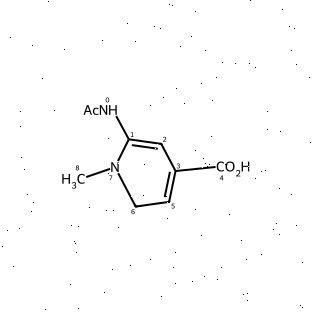 CC(=O)NC1=CC(C(=O)O)=CCN1C